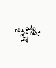 CCCC[Si](C)(O[Si](C)(C)C)O[Si](C)(CCC)O[Si](C)(C)C